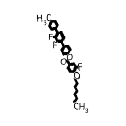 CCCCCCCCOc1ccc(C(=O)Oc2ccc(-c3ccc(-c4ccc(C)cc4)c(F)c3F)cc2)cc1F